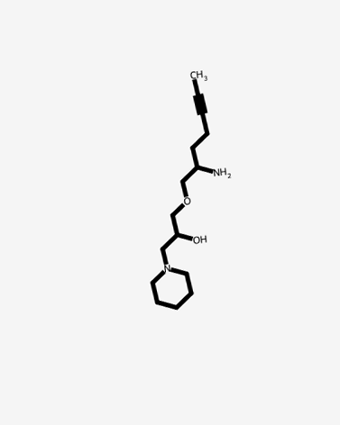 CC#CCCC(N)COCC(O)CN1CCCCC1